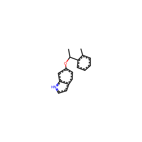 Cc1ccccc1C(C)Oc1ccc2cc[nH]c2c1